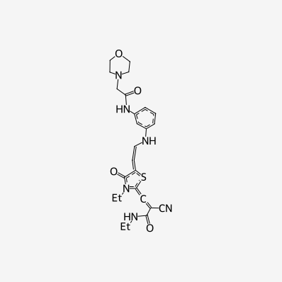 CCNC(=O)C(=C=c1sc(=C=CNc2cccc(NC(=O)CN3CCOCC3)c2)c(=O)n1CC)C#N